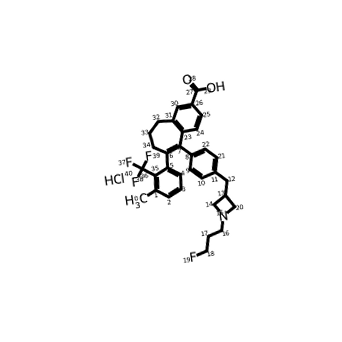 Cc1cccc(C2=C(c3ccc(CC4CN(CCCF)C4)cc3)c3ccc(C(=O)O)cc3CCC2)c1C(F)(F)F.Cl